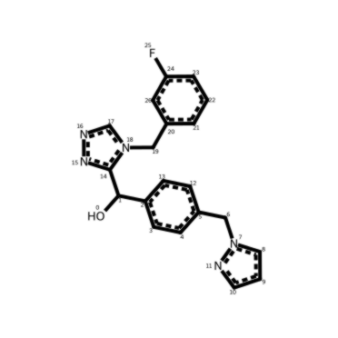 OC(c1ccc(Cn2cccn2)cc1)c1nncn1Cc1cccc(F)c1